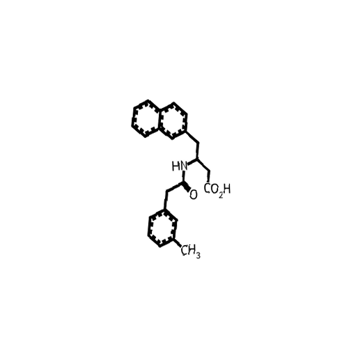 Cc1cccc(CC(=O)NC(CC(=O)O)Cc2ccc3ccccc3c2)c1